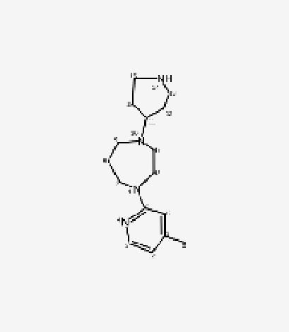 Cc1ccnc(N2CCCN(C3CCNCC3)CC2)c1